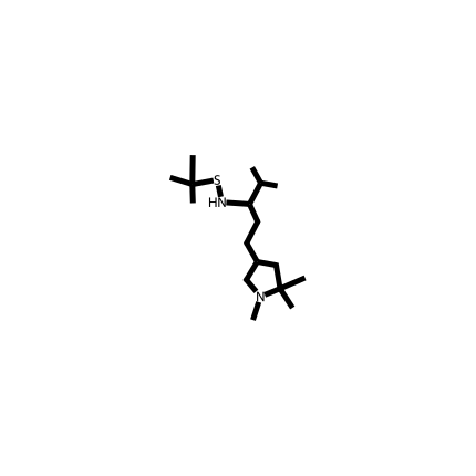 CC(C)C(CCC1CN(C)C(C)(C)C1)NSC(C)(C)C